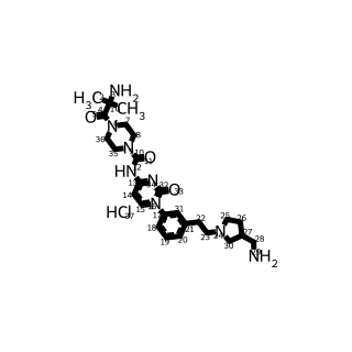 CC(C)(N)C(=O)N1CCN(C(=O)Nc2ccn(-c3cccc(CCN4CCC(CN)C4)c3)c(=O)n2)CC1.Cl